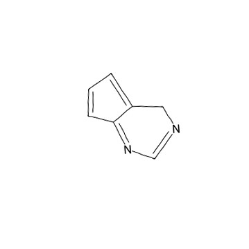 C1=CC2=NC=NCC2=C1